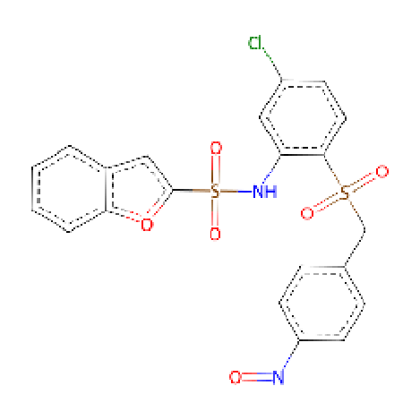 O=Nc1ccc(CS(=O)(=O)c2ccc(Cl)cc2NS(=O)(=O)c2cc3ccccc3o2)cc1